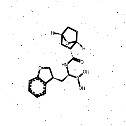 O=C(N[C@H](C[C@@H]1COc2ccccc21)B(O)O)[C@@H]1C[C@@H]2CC[C@H]1O2